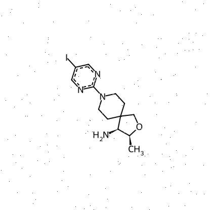 C[C@@H]1OCC2(CCN(c3ncc(I)cn3)CC2)[C@@H]1N